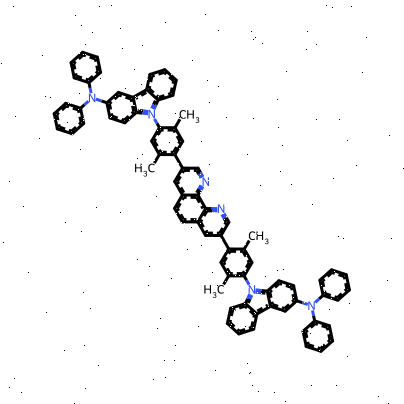 Cc1cc(-n2c3ccccc3c3cc(N(c4ccccc4)c4ccccc4)ccc32)c(C)cc1-c1cnc2c(ccc3cc(-c4cc(C)c(-n5c6ccccc6c6cc(N(c7ccccc7)c7ccccc7)ccc65)cc4C)cnc32)c1